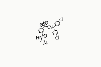 CC(CN(C)C)NC(=O)c1cccc(C(=C2CN(C(c3ccc(Cl)cc3)c3ccc(Cl)cc3)C2)S(C)(=O)=O)c1